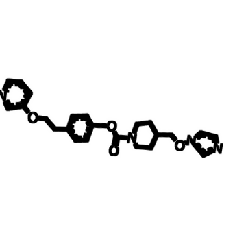 O=C(Oc1ccc(CCOc2cccnc2)cc1)N1CCC(COn2ccnc2)CC1